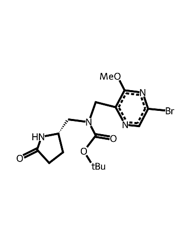 COc1nc(Br)cnc1CN(C[C@@H]1CCC(=O)N1)C(=O)OC(C)(C)C